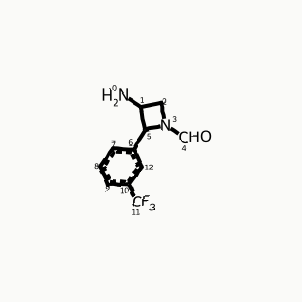 NC1CN(C=O)C1c1cccc(C(F)(F)F)c1